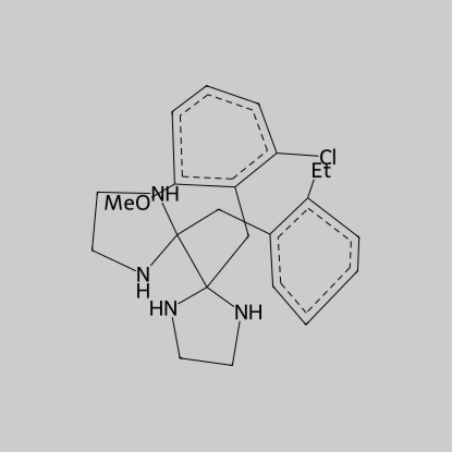 CCc1ccccc1CC1(C2(Cc3c(Cl)cccc3OC)NCCN2)NCCN1